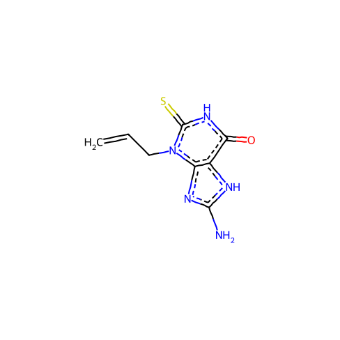 C=CCn1c(=S)[nH]c(=O)c2[nH]c(N)nc21